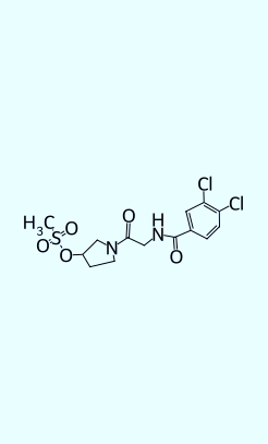 CS(=O)(=O)OC1CCN(C(=O)CNC(=O)c2ccc(Cl)c(Cl)c2)C1